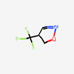 FC(F)(F)C1[CH]ON=C1